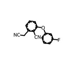 N#CCc1cccc(Oc2cccc(F)c2)c1C#N